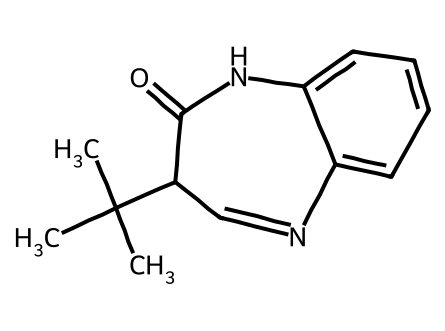 CC(C)(C)C1C=Nc2ccccc2NC1=O